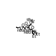 C=CCOC(=O)C(N1C(=O)[C@H]([C@@H](C)O[Si](C)(C)C(C)(C)C)[C@H]1CC(=O)c1cc(CC)n(CC)n1)=P(CCCC)(CCCC)CCCC